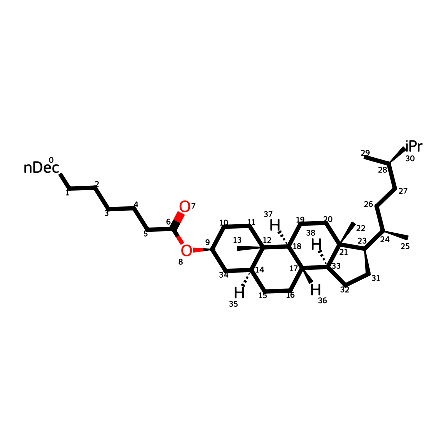 CCCCCCCCCCCCCCCC(=O)O[C@H]1CC[C@@]2(C)[C@@H](CC[C@@H]3[C@@H]2CC[C@]2(C)[C@@H]([C@H](C)CC[C@@H](C)C(C)C)CC[C@@H]32)C1